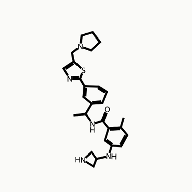 Cc1ccc(NC2CNC2)cc1C(=O)NC(C)c1cccc(-c2ncc(CN3CCCC3)s2)c1